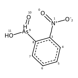 O=[N+]([O-])c1ccccc1[AsH](=O)O